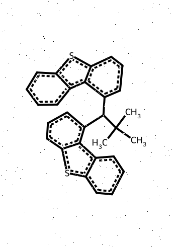 CC(C)(C)C(c1cccc2sc3ccccc3c12)c1cccc2sc3ccccc3c12